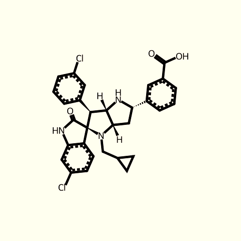 O=C(O)c1cccc([C@@H]2C[C@H]3[C@@H](N2)[C@H](c2cccc(Cl)c2)[C@]2(C(=O)Nc4cc(Cl)ccc42)N3CC2CC2)c1